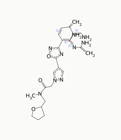 C=C(N)/N=C\C(=C/N)C(=C)/C=C\C(=C/N)c1noc(-c2cnn(CC(=O)N(C)CC3CCCO3)c2)n1